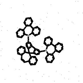 C1=Cc2ccccc2C2(c3ccccc31)c1ccc(N3c4ccccc4-c4ccccc4-c4ccccc43)cc1-c1cc(N3c4ccccc4-c4ccccc4-c4ccccc43)ccc12